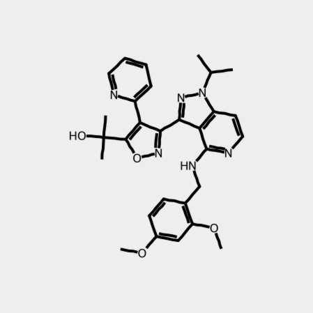 COc1ccc(CNc2nccc3c2c(-c2noc(C(C)(C)O)c2-c2ccccn2)nn3C(C)C)c(OC)c1